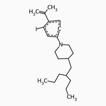 C=C(C)c1ccc(N2CCC(CC(CCC)CCC)CC2)cc1I